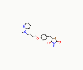 CN(CCCCOc1ccc(CC2SC(=O)NC2=O)cc1)c1ccccn1